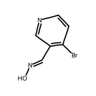 O/N=C/c1cnccc1Br